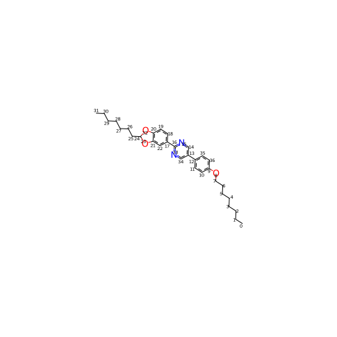 CCCCCCCCOc1ccc(-c2cnc(-c3ccc4c(c3)OC(CCCCCCC)O4)nc2)cc1